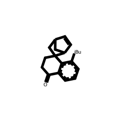 CCC(C)c1cccc2c1C1(CCC2=O)CC2C=CC1C2